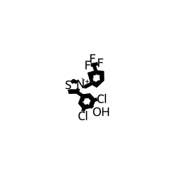 C[N+]1(Cc2cccc(C(F)(F)F)c2)CSC=C1c1cc(Cl)c(O)c(Cl)c1